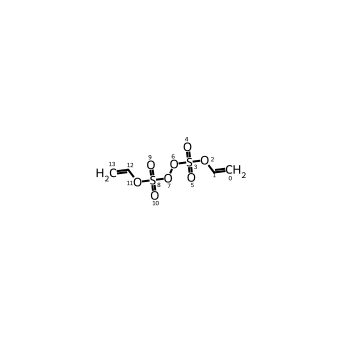 C=COS(=O)(=O)OOS(=O)(=O)OC=C